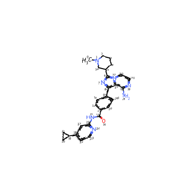 CN1CCCC(c2nc(-c3ccc(C(=O)Nc4cc(C5CC5)ccn4)cc3)c3c(N)nccn23)C1